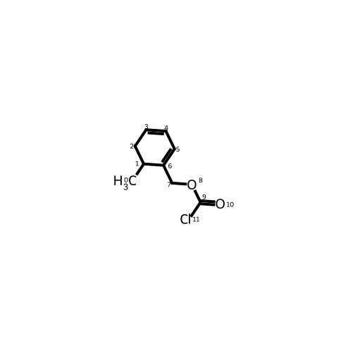 CC1CC=CC=C1COC(=O)Cl